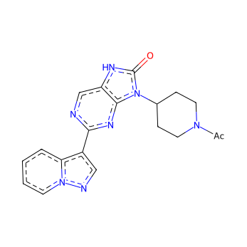 CC(=O)N1CCC(n2c(=O)[nH]c3cnc(-c4cnn5ccccc45)nc32)CC1